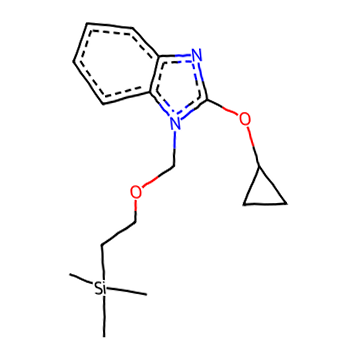 C[Si](C)(C)CCOCn1c(OC2CC2)nc2ccccc21